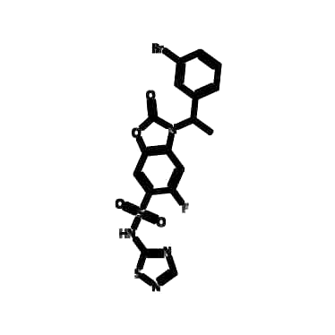 CC(c1cccc(Br)c1)n1c(=O)oc2cc(S(=O)(=O)Nc3ncns3)c(F)cc21